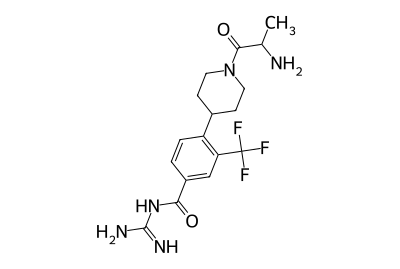 CC(N)C(=O)N1CCC(c2ccc(C(=O)NC(=N)N)cc2C(F)(F)F)CC1